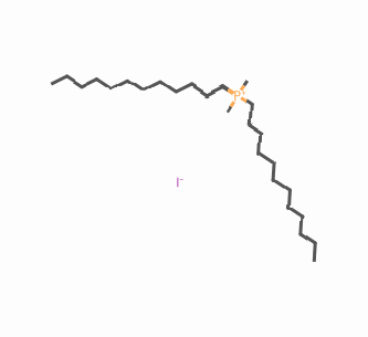 CCCCCCCCCCCC[P+](C)(C)CCCCCCCCCCCC.[I-]